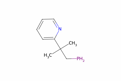 CC(C)(CP)c1ccccn1